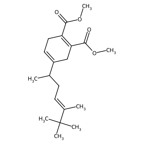 COC(=O)C1=C(C(=O)OC)CC(C(C)C/C=C(\C)C(C)(C)C)=CC1